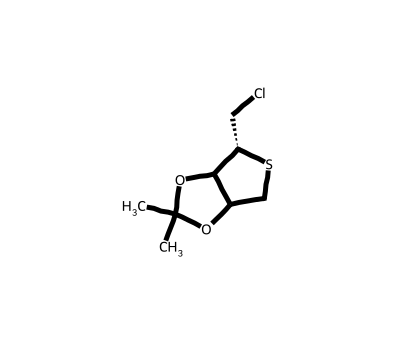 CC1(C)OC2CS[C@@H](CCl)C2O1